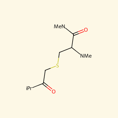 CNC(=O)C(CSCC(=O)C(C)C)NC